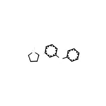 c1ccc(Oc2cccc([C@@H]3CCCN3)c2)cc1